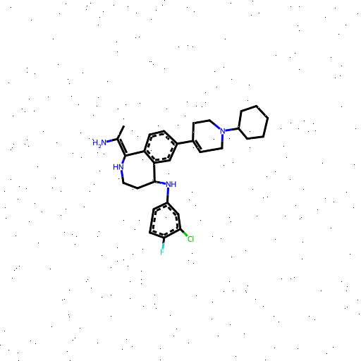 C/C(N)=C1/NCCC(Nc2ccc(F)c(Cl)c2)c2cc(C3=CCN(C4CCCCC4)CC3)ccc21